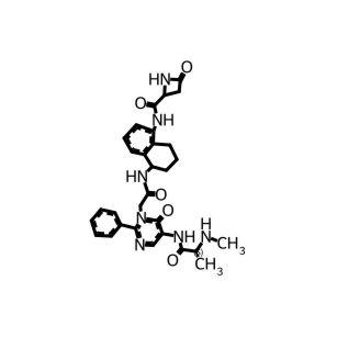 CN[C@@H](C)C(=O)Nc1cnc(-c2ccccc2)n(CC(=O)NC2CCCc3c(NC(=O)C4CC(=O)N4)cccc32)c1=O